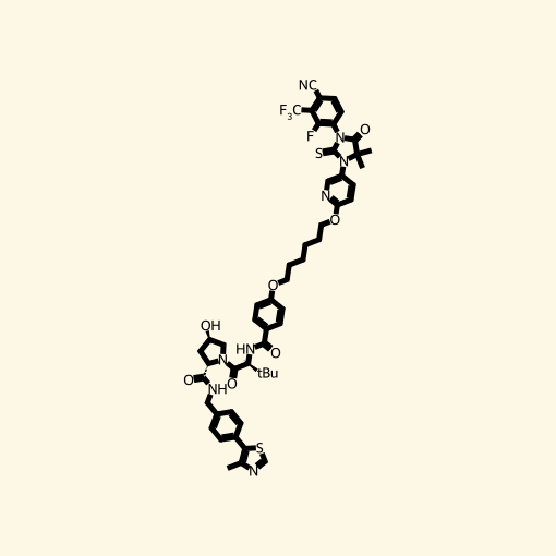 Cc1ncsc1-c1ccc(CNC(=O)[C@@H]2C[C@@H](O)CN2C(=O)[C@@H](NC(=O)c2ccc(OCCCCCCOc3ccc(N4C(=S)N(c5ccc(C#N)c(C(F)(F)F)c5F)C(=O)C4(C)C)cn3)cc2)C(C)(C)C)cc1